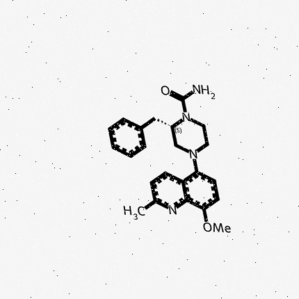 COc1ccc(N2CCN(C(N)=O)[C@@H](Cc3ccccc3)C2)c2ccc(C)nc12